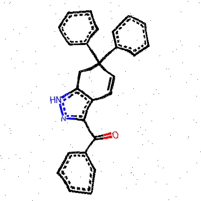 O=C(c1ccccc1)c1n[nH]c2c1C=CC(c1ccccc1)(c1ccccc1)C2